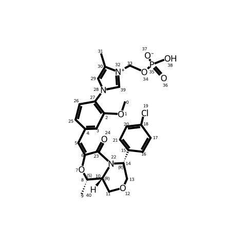 COc1cc(C=C2O[C@@H](C)[C@H]3COC[C@@H](c4ccc(Cl)cc4)N3C2=O)ccc1-n1cc(C)[n+](COP(=O)([O-])O)c1